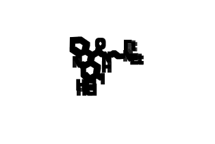 CCN(CC)CCNC(=O)c1c2ccccc2nc2ccc(I)cc12.Cl.Cl